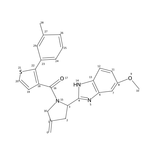 C=C1CC(c2nc3cc(OC)ccc3[nH]2)N(C(=O)c2ccsc2-c2cccc(C)c2)C1